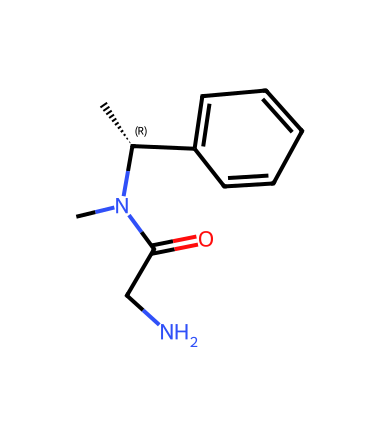 C[C@H](c1ccccc1)N(C)C(=O)CN